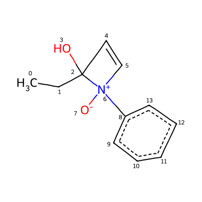 CCC1(O)C=C[N+]1([O-])c1ccccc1